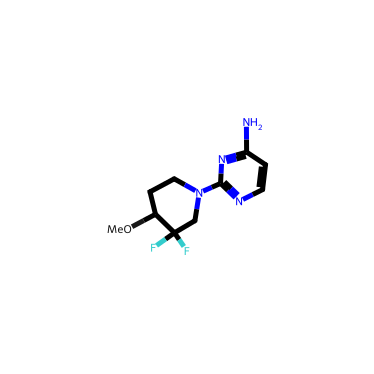 COC1CCN(c2nccc(N)n2)CC1(F)F